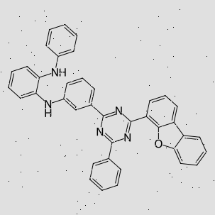 c1ccc(Nc2ccccc2Nc2cccc(-c3nc(-c4ccccc4)nc(-c4cccc5c4oc4ccccc45)n3)c2)cc1